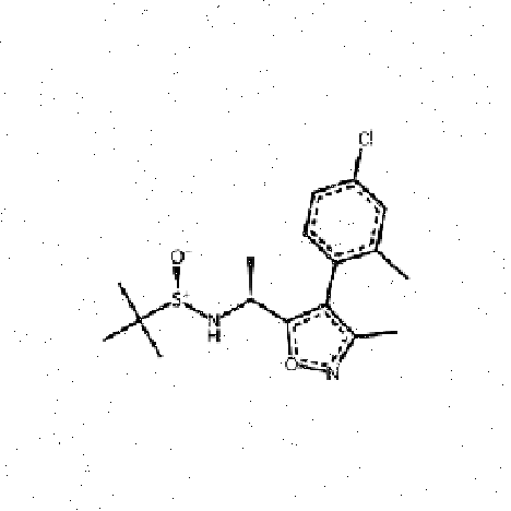 Cc1cc(Cl)ccc1-c1c(C)noc1[C@H](C)N[S@+]([O-])C(C)(C)C